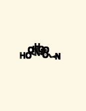 N#CCCOP(=O)(O)CNCC(=O)O